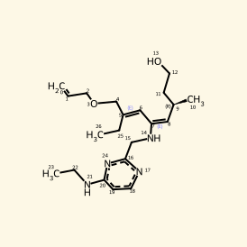 C=CCOC/C(=C/C(=C\[C@H](C)CCO)NCc1nccc(NCC)n1)CC